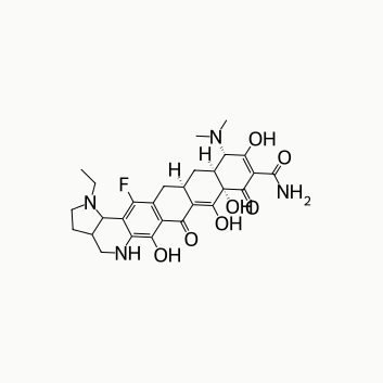 CCN1CCC2CNc3c(O)c4c(c(F)c3C21)C[C@H]1C[C@H]2[C@H](N(C)C)C(O)=C(C(N)=O)C(=O)[C@@]2(O)C(O)=C1C4=O